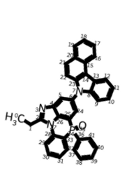 CCc1nc2cc(-n3c4ccccc4c4c5ccccc5ccc43)cc3c2n1-c1ccccc1P3(=O)c1ccccc1